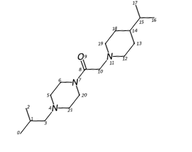 CC(C)CN1CCN(C(=O)CN2CCC(C(C)C)CC2)CC1